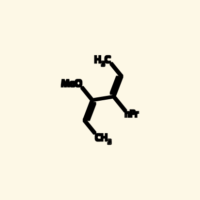 C/C=C(CCC)\C(=C/C)OC